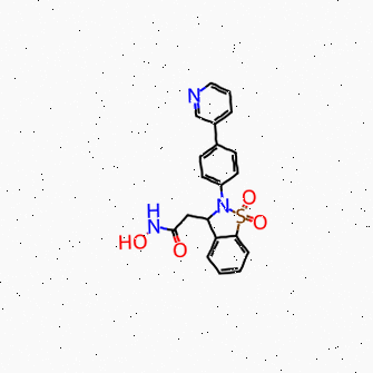 O=C(CC1c2ccccc2S(=O)(=O)N1c1ccc(-c2cccnc2)cc1)NO